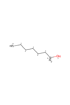 CCCCCCCC[SiH2]O